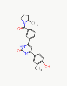 Cc1cc(-c2cc(-c3cccc(C(=O)N4CCCC4C)c3)[nH]c(=O)n2)ccc1O